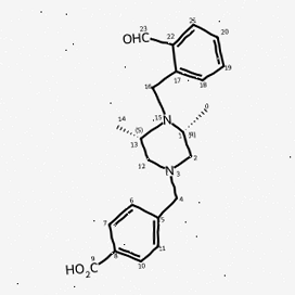 C[C@@H]1CN(Cc2ccc(C(=O)O)cc2)C[C@H](C)N1Cc1ccccc1C=O